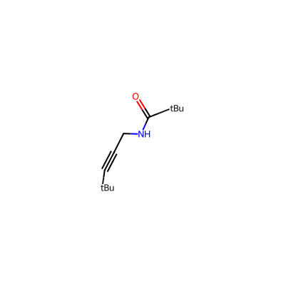 CC(C)(C)C#CCNC(=O)C(C)(C)C